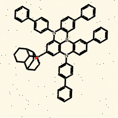 c1ccc(-c2ccc(N3c4ccc(-c5ccccc5)cc4B4c5cc(-c6ccccc6)ccc5N(c5ccc(-c6ccccc6)cc5)c5cc(N6C7CC8CC6C6CCCC8C6C7)cc3c54)cc2)cc1